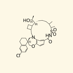 CC1CCC[C@@H]([C@H](C)O)C2CCC2CN2C[C@@]3(CCCc4cc(Cl)ccc43)COc3ccc(cc32)C(=O)NS(=O)(=O)C1C